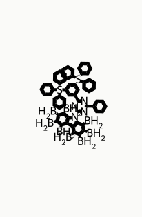 Bc1c(B)c(B)c2c(c1B)c1c(B)c(B)c(B)c(B)c1n2-c1nc(-c2ccccc2)nc(-c2cc(S(c3ccccc3)(c3ccccc3)c3ccccc3)cc(S(c3ccccc3)(c3ccccc3)c3ccccc3)c2)n1